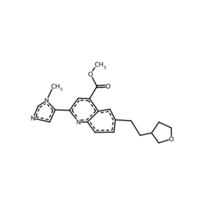 COC(=O)c1cc(-c2cncn2C)nc2ccc(CCC3CCOC3)cc12